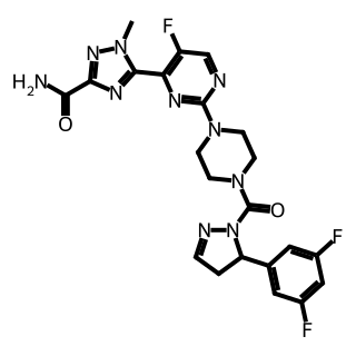 Cn1nc(C(N)=O)nc1-c1nc(N2CCN(C(=O)N3N=CCC3c3cc(F)cc(F)c3)CC2)ncc1F